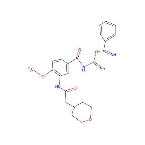 N=C(NC(=O)c1ccc(OC(F)(F)F)c(NC(=O)CN2CCOCC2)c1)OC(=N)c1ccccc1